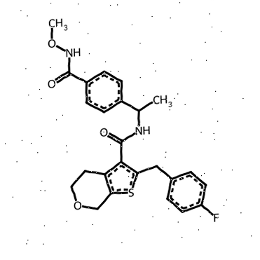 CONC(=O)c1ccc(C(C)NC(=O)c2c(Cc3ccc(F)cc3)sc3c2CCOC3)cc1